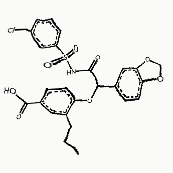 CCCc1cc(C(=O)O)ccc1OC(C(=O)NS(=O)(=O)c1cccc(Cl)c1)c1ccc2c(c1)OCO2